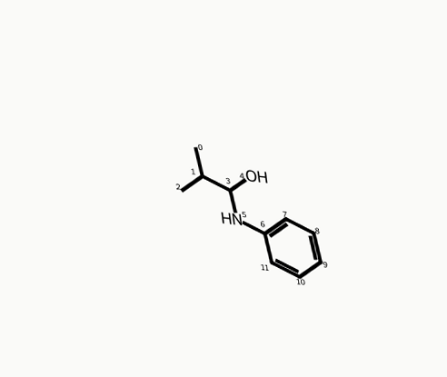 CC(C)C(O)Nc1ccccc1